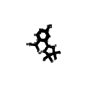 CC1(C)OB(c2cc(Cl)ncc2C(F)F)OC1(C)C